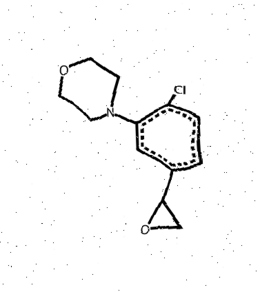 Clc1ccc(C2CO2)cc1N1CCOCC1